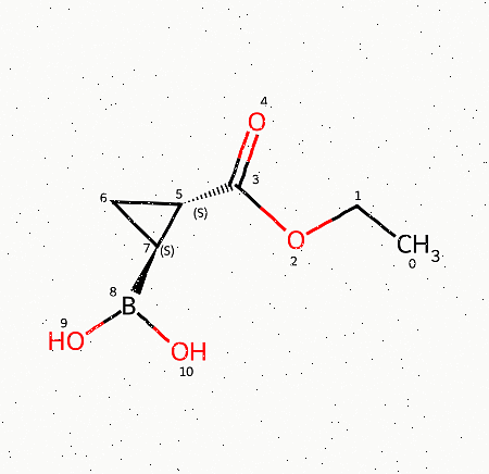 CCOC(=O)[C@H]1C[C@@H]1B(O)O